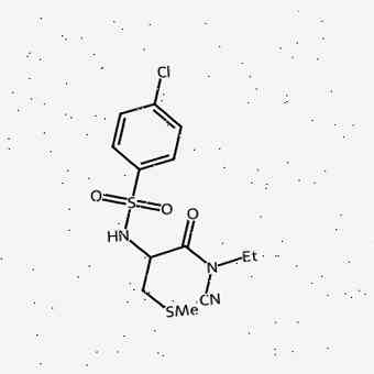 CCN(C#N)C(=O)C(CSC)NS(=O)(=O)c1ccc(Cl)cc1